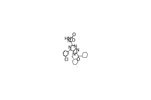 C[C@H]1CC[C@H](Cn2c(C(=O)C3CCCCC3)nc3nc(-c4n[nH]c(=O)o4)nc(-c4cccc(Cl)c4)c32)CC1